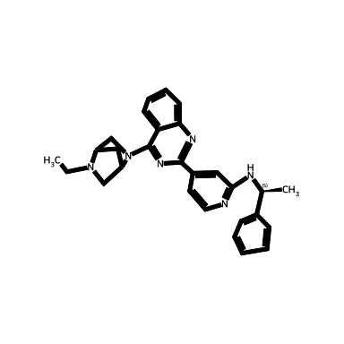 CCN1CC2CC1CN2c1nc(-c2ccnc(N[C@@H](C)c3ccccc3)c2)nc2ccccc12